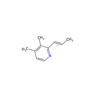 C/C=C/c1nccc(C)c1C